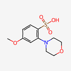 COc1ccc(S(=O)(=O)O)c(N2CCOCC2)c1